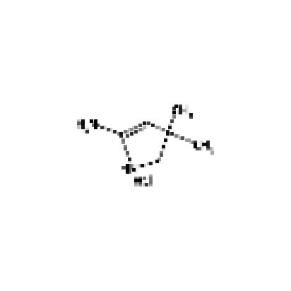 CC1(C)C=C(N)NC1.Cl